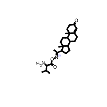 C/C(=N\OC(=O)C(N)C(C)C)C1CCC2C3CCC4=CC(=O)CCC4(C)C3CCC12C